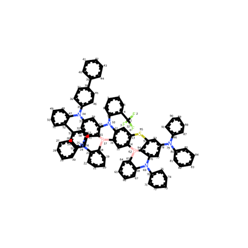 FC(F)(F)c1ccccc1N1c2cc3c(cc2B2c4ccccc4N(c4ccccc4)c4cc(N(c5ccc(-c6ccccc6)cc5)c5ccccc5-c5ccccc5)cc1c42)B1c2ccccc2N(c2ccccc2)c2cc(N(c4ccccc4)c4ccccc4)cc(c21)S3